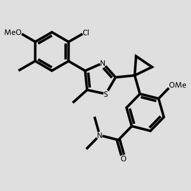 COc1cc(Cl)c(-c2nc(C3(c4cc(C(=O)N(C)C)ccc4OC)CC3)sc2C)cc1C